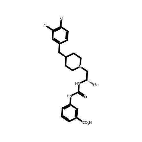 CC(C)(C)[C@@H](CN1CCC(Cc2ccc(Cl)c(Cl)c2)CC1)NC(=O)Nc1cccc(C(=O)O)c1